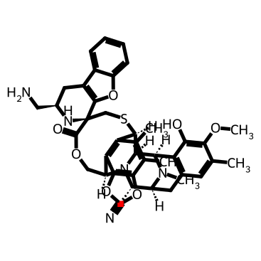 COc1c(C)cc2c(c1O)[C@@H]1[C@@H]3[C@@H]4SC[C@]5(N[C@@H](CN)Cc6c5oc5ccccc65)C(=O)OC[C@@H](c5c6c(c(C)c(C)c54)OCO6)N3[C@@H](C#N)[C@H](C2)N1C